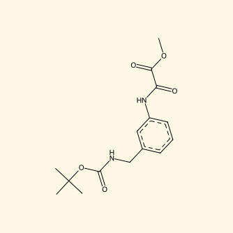 COC(=O)C(=O)Nc1cccc(CNC(=O)OC(C)(C)C)c1